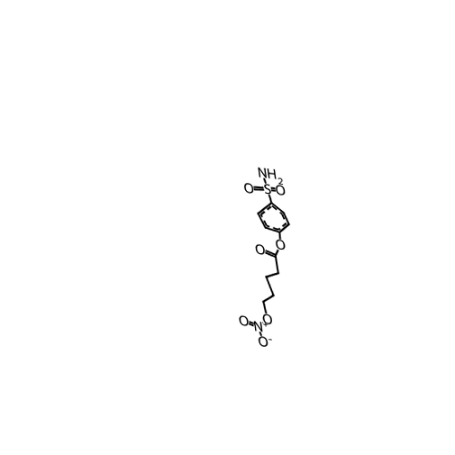 NS(=O)(=O)c1ccc(OC(=O)CCCCO[N+](=O)[O-])cc1